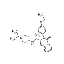 CCOc1ccc(-n2c([C@@H](C)NC3CCN(C(C)C)CC3)nc3ncccc3c2=O)cc1